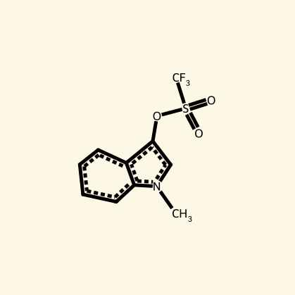 Cn1cc(OS(=O)(=O)C(F)(F)F)c2ccccc21